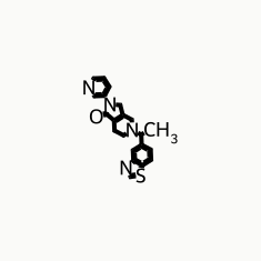 CC(c1ccc2scnc2c1)N1CCC2=C(CN(c3cccnc3)C2=O)C1